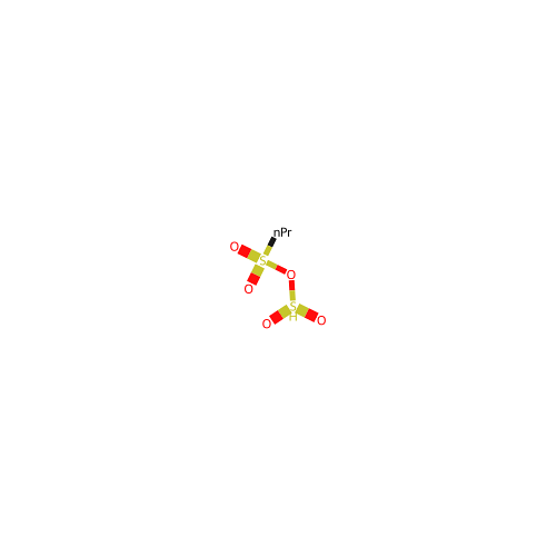 CCCS(=O)(=O)O[SH](=O)=O